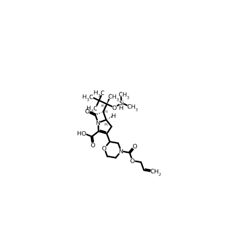 C=CCOC(=O)N1CCOC(C2=C(C(=O)O)N3C(=O)[C@H]([C@@](C)(O[SiH](C)C)C(C)(C)C)[C@H]3C2)C1